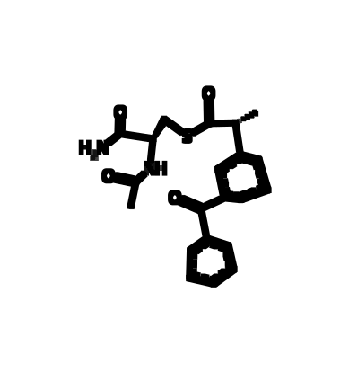 CC(=O)N[C@H](CSC(=O)[C@H](C)c1cccc(C(=O)c2ccccc2)c1)C(N)=O